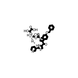 CC(C)(C)OC(=O)n1cc(C(=O)C2=CSC(c3cccnc3)N2)c2ccc(OCc3ccccc3)cc21.O=C(O)C(=O)O